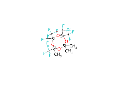 C[Si]1(C)O[Si](C)(C(F)(F)F)O[Si](C(F)(F)F)(C(F)(F)F)O[Si](C(F)(F)F)(C(F)(F)F)O1